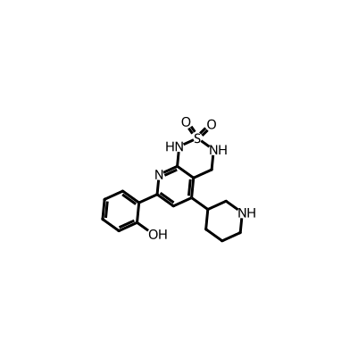 O=S1(=O)NCc2c(C3CCCNC3)cc(-c3ccccc3O)nc2N1